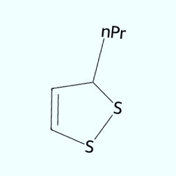 CCCC1C=CSS1